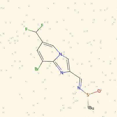 CC(C)(C)[S@@+]([O-])/N=C/c1cn2cc(C(F)F)cc(Br)c2n1